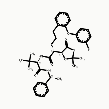 C[C@@H](NC(=O)[C@@H](NC(=O)[C@H](CCCc1ccccc1Oc1cccc(F)c1)[C@@H]1OC(C)(C)OC1=O)C(C)(C)C)c1ccccc1